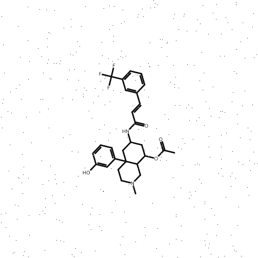 CC(=O)OC1CC(NC(=O)/C=C/c2cccc(C(F)(F)F)c2)CC2(c3cccc(O)c3)CCN(C)CC12